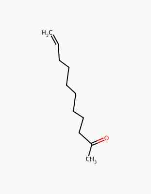 C=CCCCCCCCC(C)=O